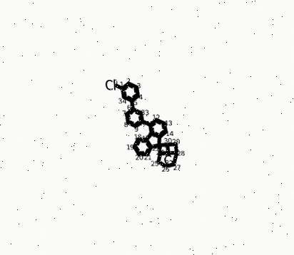 Clc1cccc(-c2cccc(-c3cccc4c3-c3ccccc3C43C4CC5CC6CC3C64C5)c2)c1